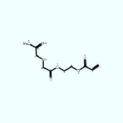 C=CC(=O)OCCOC(=O)COCC(=O)OC